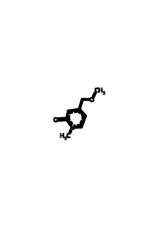 COCc1ccn(C)c(=O)c1